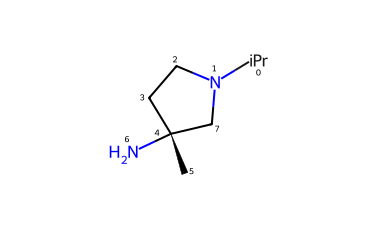 CC(C)N1CC[C@@](C)(N)C1